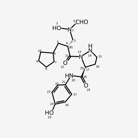 O=CN(O)C[C@@H](CC1CCCC1)C(=O)N1NCC[C@H]1C(=O)Nc1ccc(O)cc1